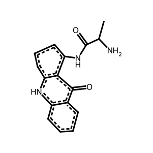 CC(N)C(=O)Nc1cccc2[nH]c3ccccc3c(=O)c12